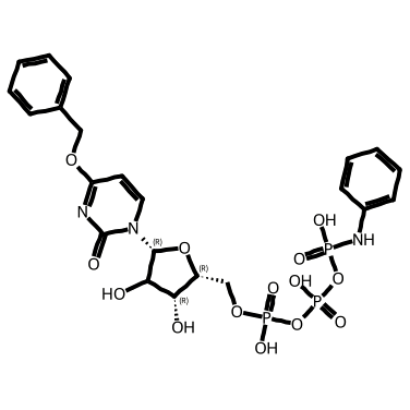 O=c1nc(OCc2ccccc2)ccn1[C@@H]1O[C@H](COP(=O)(O)OP(=O)(O)OP(=O)(O)Nc2ccccc2)[C@H](O)C1O